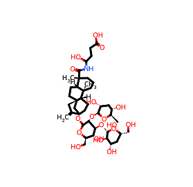 C=C1C[C@@]23CC[C@H]4[C@@](C)(CCC[C@@]4(C)C(=O)NC(O)CCC(=O)O)[C@@H]2CC[C@]1(OC1O[C@H](CO)[C@@H](O)[C@H](O[C@@H]2O[C@H](CO)C[C@H](O)[C@H]2O)[C@H]1O[C@@H]1O[C@H](CO)[C@@H](O)C[C@H]1O)C3